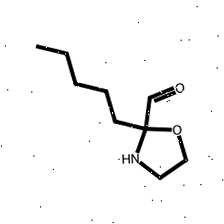 CCCCCC1(C=O)NCCO1